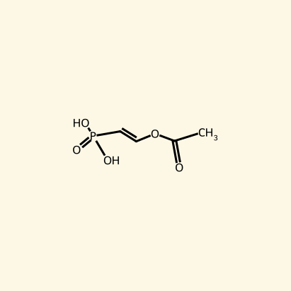 CC(=O)OC=CP(=O)(O)O